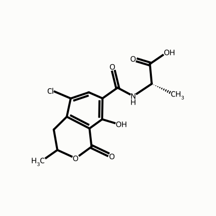 CC1Cc2c(Cl)cc(C(=O)N[C@@H](C)C(=O)O)c(O)c2C(=O)O1